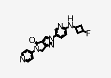 O=C1c2cn(-c3ccc(NC4CC(F)C4)nc3)nc2CN1c1ccncc1